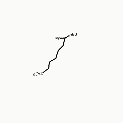 [CH2]CCCC(CCCCCCCCCCCCC)C(C)C